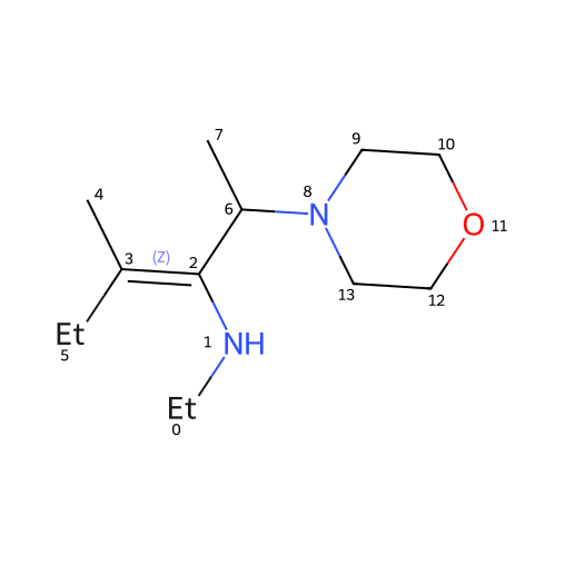 CCN/C(=C(/C)CC)C(C)N1CCOCC1